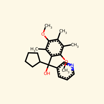 COc1c(C)c(C)c(OC)c(C(O)(c2cccnc2)C2CCCC2)c1C